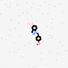 Bc1ccc2c(cnn2Cc2ccc(OC)cc2)c1